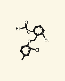 CCC(=O)Oc1cccc(CC)c1COc1ccc(C)cc1Cl